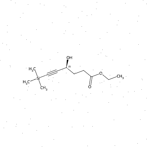 CCOC(=O)CC[C@H](O)C#C[Si](C)(C)C